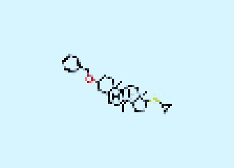 C[C@]12CCC(OCc3ccccc3)CC1=CC[C@@H]1[C@H]2CC[C@]2(C)C(SC3CC3)CC[C@@H]12